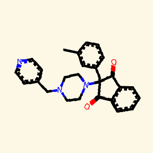 Cc1cccc(C2(N3CCN(Cc4ccncc4)CC3)C(=O)c3ccccc3C2=O)c1